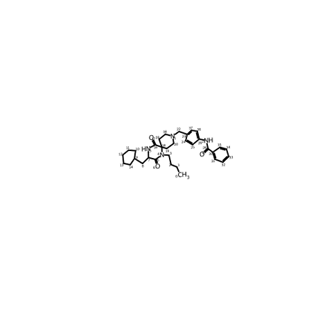 CCCCN1C(=O)C(CC2CCCCC2)NC(=O)C12CCN(Cc1ccc(NC(=O)c3ccccc3)cc1)CC2